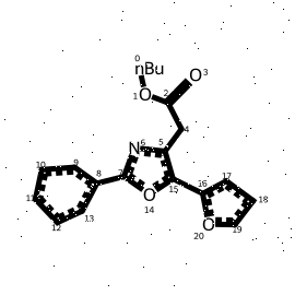 CCCCOC(=O)Cc1nc(-c2ccccc2)oc1-c1ccco1